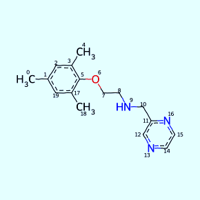 Cc1cc(C)c(OCCNCc2cnccn2)c(C)c1